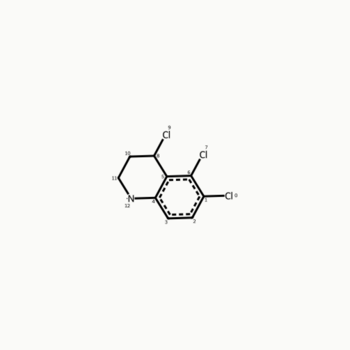 Clc1ccc2c(c1Cl)C(Cl)CC[N]2